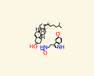 CC(C)CCC[C@@H](C)[C@H]1CC[C@H]2[C@@H]3CC=C4C[C@@H](O)CC[C@]4(C)[C@H]3CC[C@]12C.COc1ccc2[nH]cc(CCNC(C)=O)c2c1